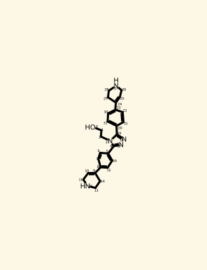 OCCn1c(-c2ccc(C3=CCNCC3)cc2)nnc1-c1ccc(C2=CCNCC2)cc1